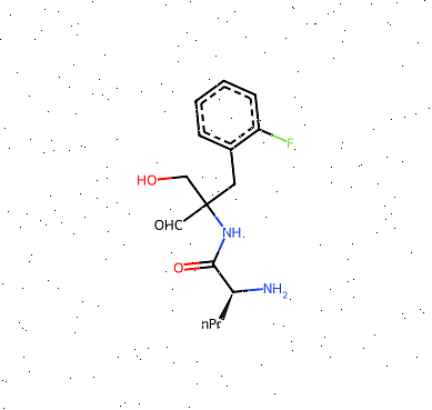 CCC[C@H](N)C(=O)NC(C=O)(CO)Cc1ccccc1F